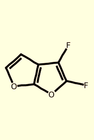 Fc1oc2occc2c1F